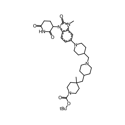 Cn1c(=O)n(C2CCC(=O)NC2=O)c2ccc(N3CCC(CN4CCC(CC5(C)CCN(C(=O)OC(C)(C)C)CC5)CC4)CC3)cc21